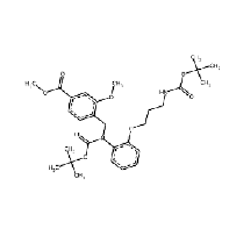 COC(=O)c1ccc(CN(C(=O)OC(C)(C)C)c2ccccc2OCCCNC(=O)OC(C)(C)C)c(OC)c1